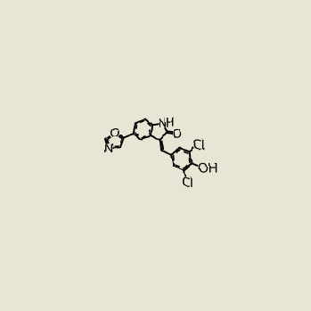 O=C1Nc2ccc(-c3cnco3)cc2C1=Cc1cc(Cl)c(O)c(Cl)c1